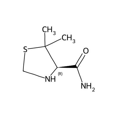 CC1(C)SCN[C@@H]1C(N)=O